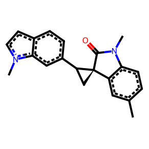 Cc1ccc2c(c1)[C@@]1(CC1c1ccc3ccn(C)c3c1)C(=O)N2C